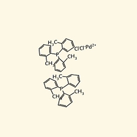 Cc1ccccc1P(c1ccccc1C)c1ccccc1C.Cc1ccccc1P(c1ccccc1C)c1ccccc1C.[Cl-].[Cl-].[Pd+2]